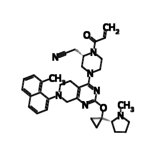 C=CC(=O)N1CCN(c2nc(OC3([C@H]4CCCN4C)CC3)nc3c2CCN(c2cccc4cccc(C)c24)C3)C[C@@H]1CC#N